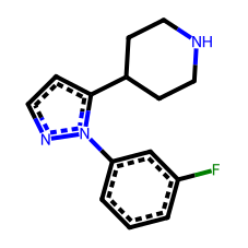 Fc1cccc(-n2nccc2C2CCNCC2)c1